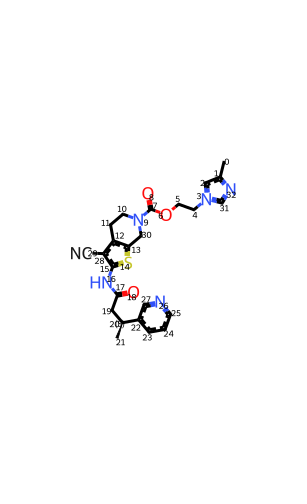 Cc1cn(CCOC(=O)N2CCc3c(sc(NC(=O)C[C@H](C)c4cccnc4)c3C#N)C2)cn1